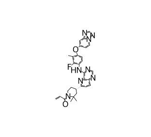 C=CC(=O)N1CC[C@H](c2ccc3ncnc(Nc4ccc(Oc5ccn6ncnc6c5)c(C)c4F)c3n2)CC1(C)C